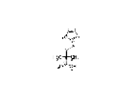 CC(C)(CCc1ccco1)C(=O)O